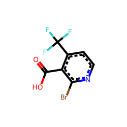 O=C(O)c1c(C(F)(F)F)ccnc1Br